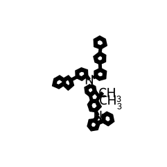 CC1(C)c2cc(N(c3cccc(-c4ccc(-c5ccccc5)cc4)c3)c3cccc(-c4ccc5ccccc5c4)c3)ccc2-c2ccc(-n3c4ccccc4c4ccccc43)cc21